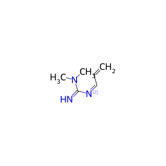 C=C/C=N\C(=N)N(C)C